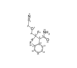 N#CCOCC(F)(F)[C](C(N)=O)c1ccccc1F